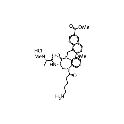 CN[C@@H](C)C(=O)N[C@H]1CN(C(=O)CCCCN)c2ccccc2N(Cc2c(OC)ccc3cc(C(=O)OC)ccc23)C1=O.Cl